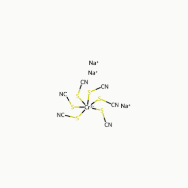 N#C[S][Cr-3]([S]C#N)([S]C#N)([S]C#N)([S]C#N)[S]C#N.[Na+].[Na+].[Na+]